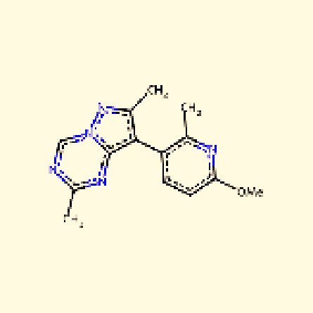 COc1ccc(-c2c(C)nn3cnc(C)nc23)c(C)n1